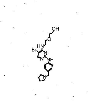 OCCOCCNc1nc(Nc2ccc(CN3CCCC3)cc2)ncc1Br